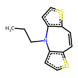 CCCN1c2ccsc2C=Cc2sccc21